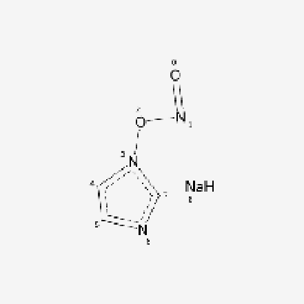 O=NOn1ccnc1.[NaH]